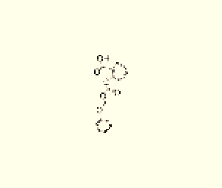 O=C(OCOc1ccccc1)Oc1ccccc1C(=O)O